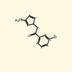 CC1=CC(CC(=O)c2cccc(Cl)c2)C=C1